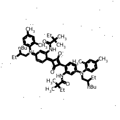 CCCCC(CC)CN(c1ccc(C2=C([O-])/C(=C3C=C/C(=[N+](\CC(CC)CCCC)c4ccc(C)cc4C)C=C/3NC(=O)C(C)(C)CC)C2=O)c(NC(=O)C(C)(C)CC)c1)c1ccc(C)cc1C